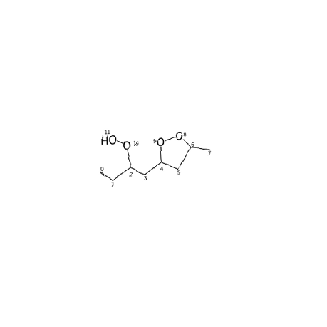 CCC(CC1CC(C)OO1)OO